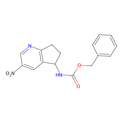 O=C(NC1CCc2ncc([N+](=O)[O-])cc21)OCc1ccccc1